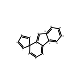 C1=CC2(C=C1)C=CC=C1C2=Cc2ccccc21